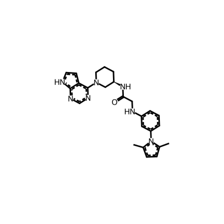 Cc1ccc(C)n1-c1cccc(NCC(=O)N[C@@H]2CCCN(c3ncnc4[nH]ccc34)C2)c1